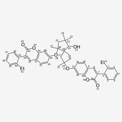 CCc1ccccc1-c1cc2ccc(OC(C)(C)CC3(C)C(O)C(C)(C)CC3(C)Oc3ccc4cc(-c5ccccc5CC)c(=O)oc4c3)cc2oc1=O